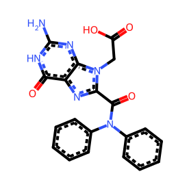 Nc1nc2c(nc(C(=O)N(c3ccccc3)c3ccccc3)n2CC(=O)O)c(=O)[nH]1